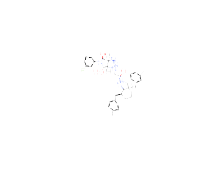 Cc1ccc(/C=C2\CCC[C@@H]3C2=NN(C(=O)CN2N=N[C@@H]4C(=O)N(c5cccc(F)c5)C(O)[C@H]42)[C@@H]3c2ccc(C)cc2)cc1